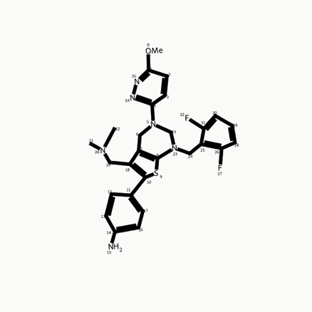 COc1ccc(N2Cc3c(sc(-c4ccc(N)cc4)c3CN(C)C)N(Cc3c(F)cccc3F)C2)nn1